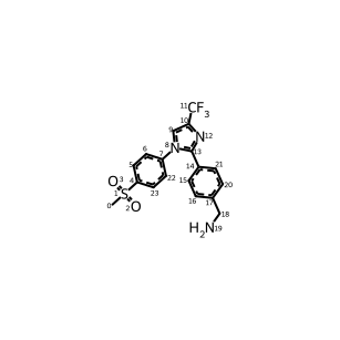 CS(=O)(=O)c1ccc(-n2cc(C(F)(F)F)nc2-c2ccc(CN)cc2)cc1